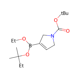 CCOB(OC(C)(C)CC)C1=CCN(C(=O)OC(C)(C)C)C1